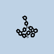 c1ccc(-c2ccc(N(c3ccc(-c4cccc5ccccc45)cc3)c3ccc4c(c3)C(c3ccccc3)(c3ccc5c(c3)sc3ccccc35)c3ccccc3-4)cc2)cc1